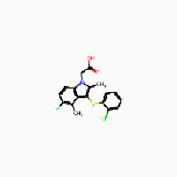 Cc1c(F)ccc2c1c(Sc1ccccc1Cl)c(C)n2CC(=O)O